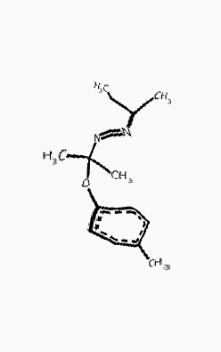 Cc1ccc(OC(C)(C)N=NC(C)C)cc1